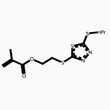 C=C(C)C(=O)OCCSc1nnc(SCCC)s1